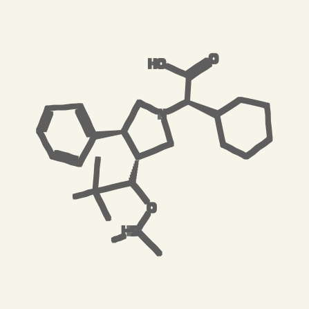 C[SiH](C)OC([C@H]1CN([C@@H](C(=O)O)C2CCCCC2)C[C@@H]1c1ccccc1)C(C)(C)C